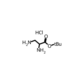 CC(C)(C)OC(=O)C(N)CN.Cl